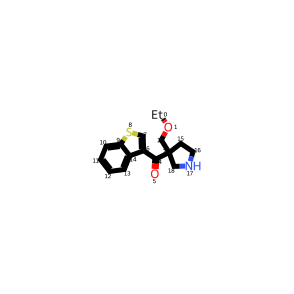 CCOCC1(C(=O)c2csc3ccccc23)CCNC1